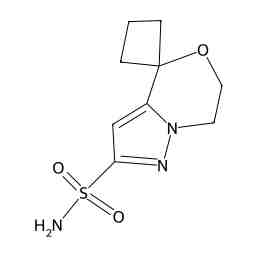 NS(=O)(=O)c1cc2n(n1)CCOC21CCC1